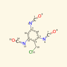 O=C=Nc1cc(N=C=O)c(CCl)c(N=C=O)c1